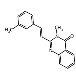 Cc1cccc(/C=C/c2nc3ccccc3c(=O)n2C)c1